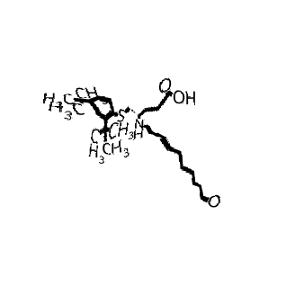 CC(C)(C)c1ccc(SC[C@H](CCC(=O)O)NCC/C=C/CCCCCC=O)c(C(C)(C)C)c1